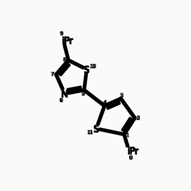 CC(C)c1ccc(-c2ncc(C(C)C)s2)s1